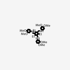 CCc1c(CNc2ccc(OC)c(OC)c2)c(CC)c(CNc2ccc(OC)c(OC)c2)c(CC)c1CNc1ccc(OC)c(OC)c1